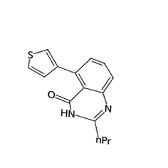 CCCc1nc2cccc(-c3ccsc3)c2c(=O)[nH]1